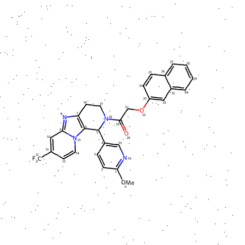 COc1ccc(C2c3c(nc4cc(C(F)(F)F)ccn34)CCN2C(=O)COc2ccc3ccccc3c2)cn1